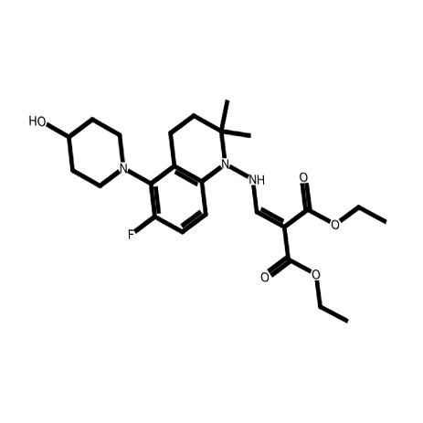 CCOC(=O)C(=CNN1c2ccc(F)c(N3CCC(O)CC3)c2CCC1(C)C)C(=O)OCC